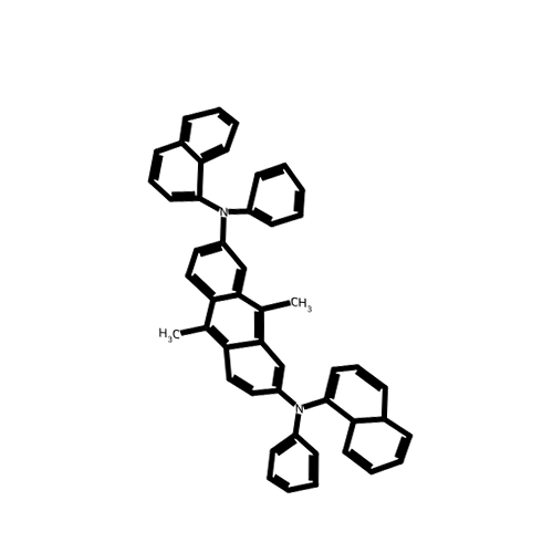 Cc1c2ccc(N(C3=CC=CC4C=CC=CC34)c3ccccc3)cc2c(C)c2cc(N(c3ccccc3)c3cccc4ccccc34)ccc12